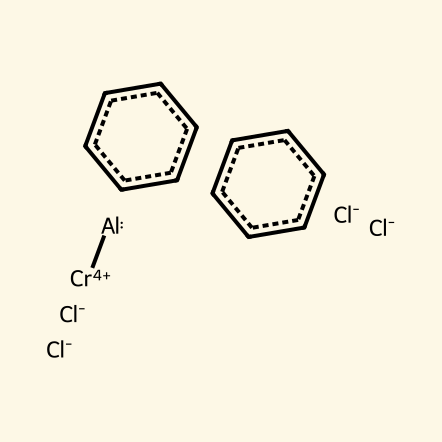 [Al][Cr+4].[Cl-].[Cl-].[Cl-].[Cl-].c1ccccc1.c1ccccc1